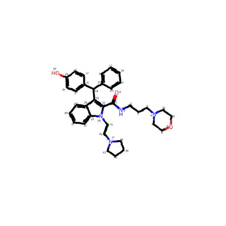 O=C(NCCCN1CCOCC1)c1c(C(c2ccccc2)c2ccc(O)cc2)c2ccccc2n1CCN1CCCC1